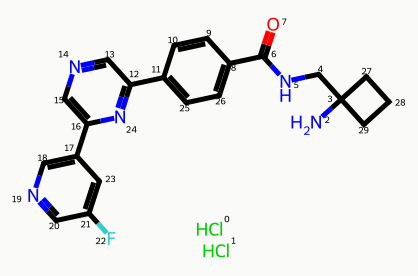 Cl.Cl.NC1(CNC(=O)c2ccc(-c3cncc(-c4cncc(F)c4)n3)cc2)CCC1